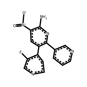 Nc1nc(-c2cccnc2)c(-c2ccncc2F)cc1[N+](=O)[O-]